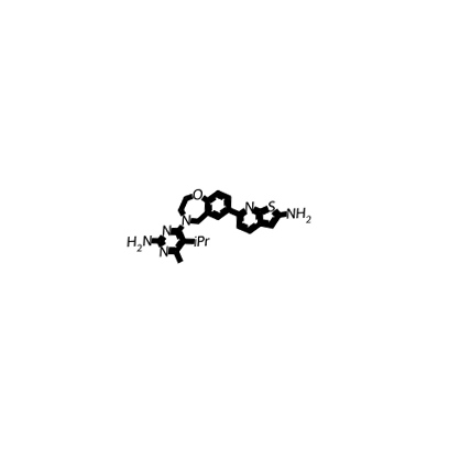 Cc1nc(N)nc(N2CCOc3ccc(-c4ccc5cc(N)sc5n4)cc3C2)c1C(C)C